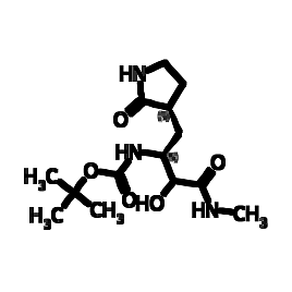 CNC(=O)C(O)[C@H](C[C@@H]1CCNC1=O)NC(=O)OC(C)(C)C